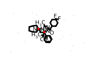 [2H]C(C)(C)c1nnc(C)n1C1CC2CCC(C1)N2CCC(NC(=O)C1CCC(F)(F)CC1)c1ccccc1